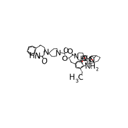 CCc1cc(C[C@@H](OC(=O)N2CCC(N3CCc4ccccc4NC3=O)CC2)C(=O)N2CCN(C3CC4CCC(C3)N4C)CC2)cc(Cl)c1N